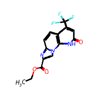 CCOC(=O)c1cn2c(ccc3c(C(F)(F)F)cc(=O)[nH]c32)n1